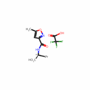 Cc1cc(C(=O)N[C@H](C(=O)O)C(C)C)no1.O=C(O)C(F)(F)F